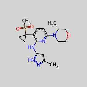 Cc1cc(Nc2nc(N3CCOC[C@H]3C)ccc2C2(S(C)(=O)=O)CC2)[nH]n1